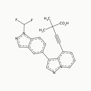 CC(C)(C#Cc1cccn2ncc(-c3ccc4c(cnn4C(F)F)c3)c12)C(=O)O